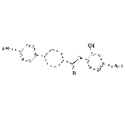 CCCCCCc1ccc(C2CCC(C(=O)Oc3ccc(CCCCC)cc3C#N)CC2)cc1